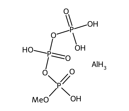 COP(=O)(O)OP(=O)(O)OP(=O)(O)O.[AlH3]